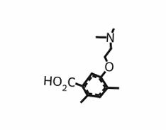 Cc1cc(C)c(C(=O)O)cc1OCCN(C)C